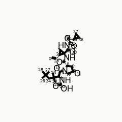 C=C[C@@H]1C[C@]1(NC(=O)[C@@H]1CC(=O)CN1C(=O)[C@@H](NC(=O)O)C(C)(C)CC(C)(C)C)C(=O)NS(=O)(=O)C1CC1